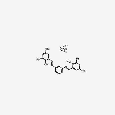 CC(=O)[O-].CC(=O)[O-].CC(C)c1cc(C(C)(C)C)cc(C=Nc2cccc(N=Cc3cc(C(C)(C)C)cc(C(C)C)c3O)c2)c1O.[Co+2]